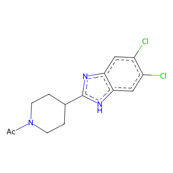 CC(=O)N1CCC(c2nc3cc(Cl)c(Cl)cc3[nH]2)CC1